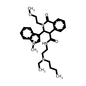 CCCCN(CC)CCNC(=O)C1c2ccccc2C(=O)N(CCOC)C1c1cn(C)c2ccccc12